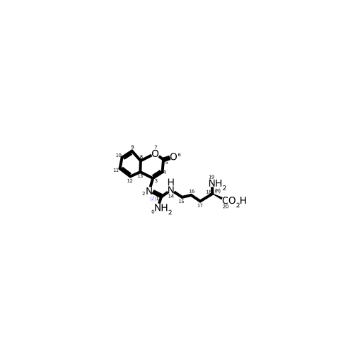 N/C(=N/C1=CC(=O)OC2C=CC=CC12)NCCC[C@@H](N)C(=O)O